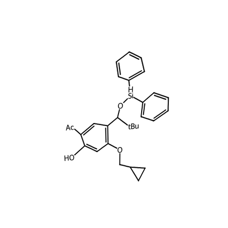 CC(=O)c1cc(C(O[SiH](c2ccccc2)c2ccccc2)C(C)(C)C)c(OCC2CC2)cc1O